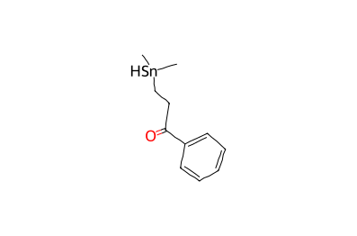 [CH3][SnH]([CH3])[CH2]CC(=O)c1ccccc1